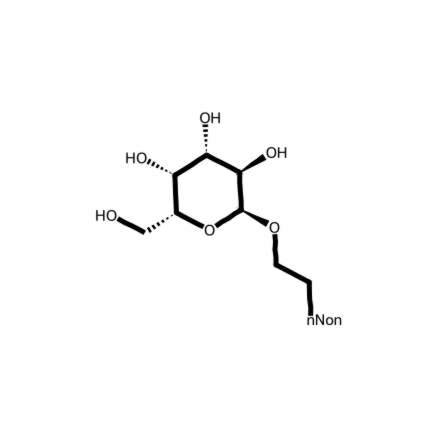 CCCCCCCCCCCO[C@H]1O[C@H](CO)[C@H](O)[C@H](O)[C@H]1O